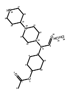 CC(=O)OC1CCC(N(C=O)N2CCN(C3CCNCC3)CC2)CC1.Cl.Cl